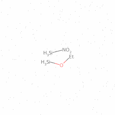 CCO[SiH3].O=[N+]([O-])[SiH3]